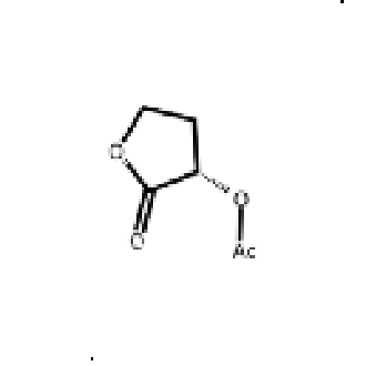 CC(=O)O[C@H]1CCOC1=O